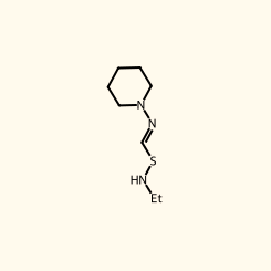 CCNS/C=N/N1CCCCC1